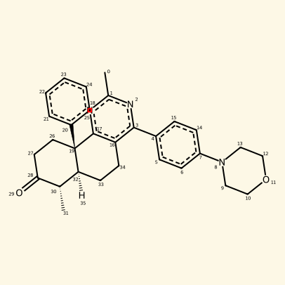 Cc1nc(-c2ccc(N3CCOCC3)cc2)c2c(n1)[C@@]1(c3ccccc3)CCC(=O)[C@@H](C)[C@@H]1CC2